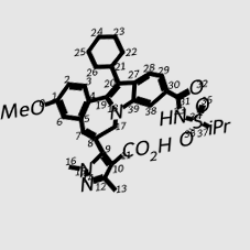 COc1ccc2c(c1)C=C(c1c(C(=O)O)c(C)nn1C)Cn1c-2c(C2CCCCC2)c2ccc(C(=O)NS(=O)(=O)C(C)C)cc21